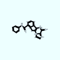 O=C(Nc1ccccc1)c1cccc2c1Cc1c-2[nH]c(=O)c2nccn12